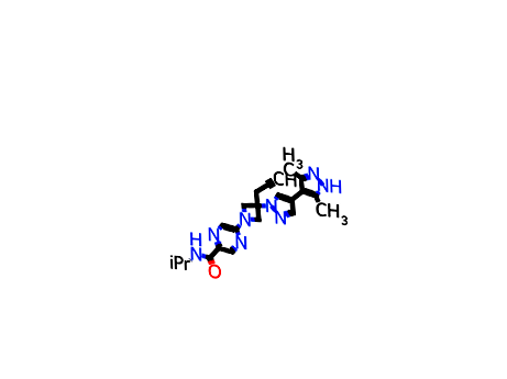 C#CCC1(n2cc(-c3c(C)n[nH]c3C)cn2)CN(c2cnc(C(=O)NC(C)C)cn2)C1